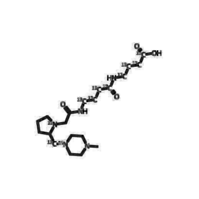 CN1CC[15N]([13CH2]C2CCC[15N]2CC(=O)N[13CH2][13CH2][13CH2][13C](=O)N[13CH2][13CH2][13CH2][13C](=O)O)CC1